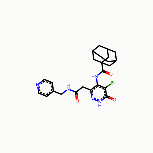 O=C(Cc1n[nH]c(=O)c(Br)c1NC(=O)C12CC3CC(CC(C3)C1)C2)NCc1ccncc1